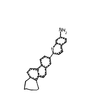 Nc1ccc2ccc(-c3ccc4c(ccc5c6c(ccc54)CCCC6)c3)nc2c1